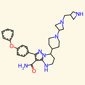 NC(=O)c1c(-c2ccc(Oc3ccccc3)cc2)nn2c1NCCC2C1CCN(C2CN(CC3CNC3)C2)CC1